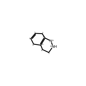 C1=CCC2=C(C1)CCN[N]2